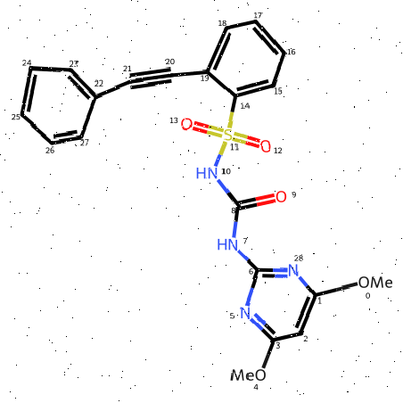 COc1cc(OC)nc(NC(=O)NS(=O)(=O)c2ccccc2C#Cc2ccccc2)n1